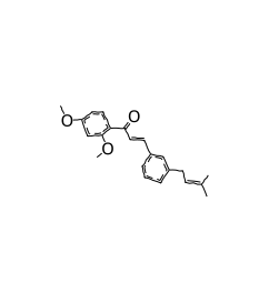 COc1ccc(C(=O)/C=C/c2cccc(CC=C(C)C)c2)c(OC)c1